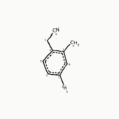 [2H]c1ccc(CC#N)c(C)c1